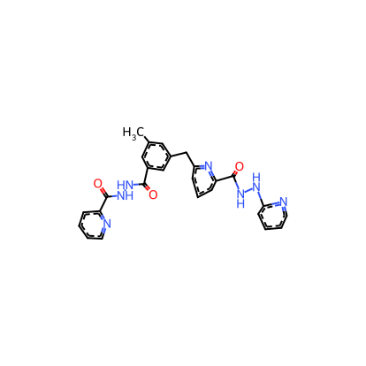 Cc1cc(Cc2cccc(C(=O)NNc3ccccn3)n2)cc(C(=O)NNC(=O)c2ccccn2)c1